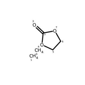 C.C.O=C1OCCO1